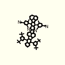 Cc1cc(C#N)cc(C#N)c1-c1c2cc3c(cc2c(-c2c(C)cc(C#N)cc2C#N)c2c4cccc5cccc(c12)c54)c1ccc2c4c(ccc3c41)-c1c-2c(-c2cc(C(C)(C)C)cc(C(C)(C)C)c2)c2ccccc2c1-c1cc(C(C)(C)C)cc(C(C)(C)C)c1